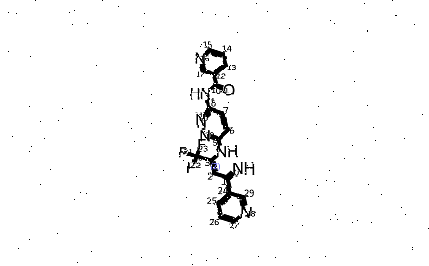 N=C(/C=C(\Nc1ccc(NC(=O)c2cccnc2)nn1)C(F)(F)F)c1cccnc1